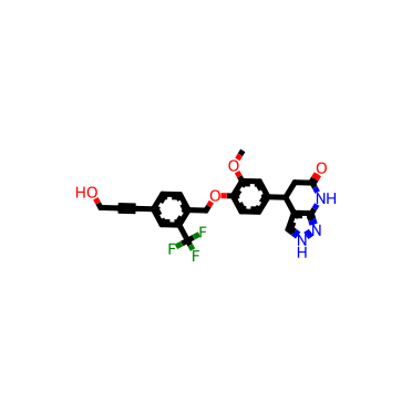 COc1cc(C2CC(=O)Nc3n[nH]cc32)ccc1OCc1ccc(C#CCO)cc1C(F)(F)F